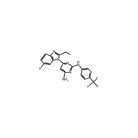 CCc1nc2ccc(F)cc2n1-c1cc(N)nc(Nc2ccc(C(F)(F)F)nc2)n1